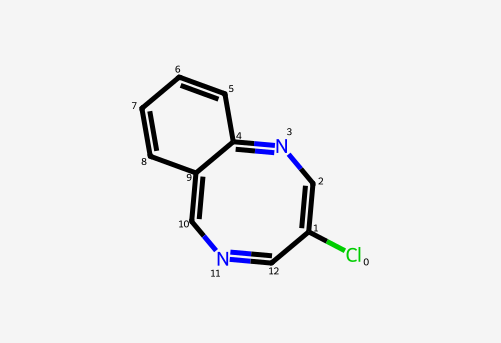 ClC1=CN=c2ccccc2=CN=C1